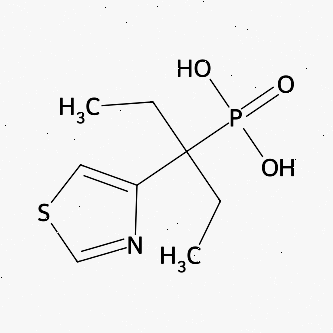 CCC(CC)(c1cscn1)P(=O)(O)O